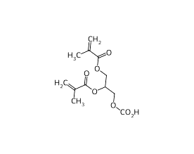 C=C(C)C(=O)OCC(COC(=O)O)OC(=O)C(=C)C